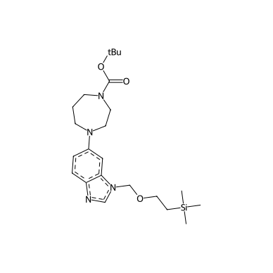 CC(C)(C)OC(=O)N1CCCN(c2ccc3ncn(COCC[Si](C)(C)C)c3c2)CC1